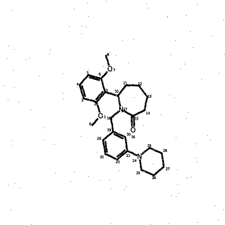 COc1cccc(OC)c1C1CCCCC(=O)N1Cc1cccc(N2CCCCC2)c1